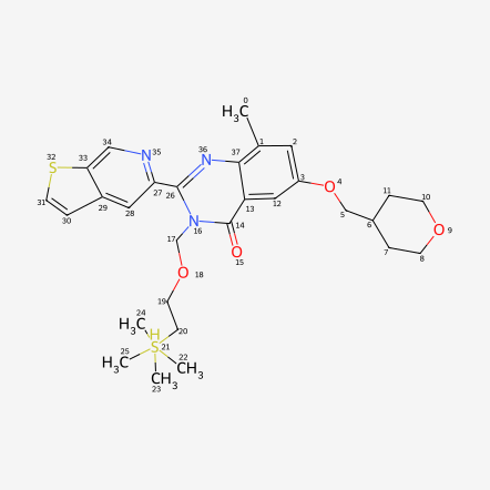 Cc1cc(OCC2CCOCC2)cc2c(=O)n(COCC[SH](C)(C)(C)C)c(-c3cc4ccsc4cn3)nc12